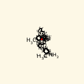 Cc1cc(N2CCCC2C[N+]23CC[N+](CC4CCCN4c4ccc(N)c(C)c4)(CC2)CC3)ccc1N.[Cl-].[Cl-]